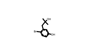 CC(C)(O)Cc1cc(O)ccc1Br